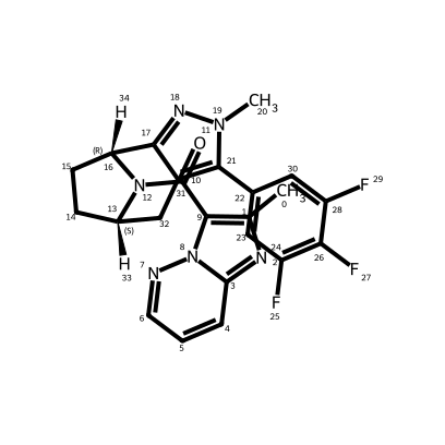 Cc1nc2cccnn2c1C(=O)N1[C@H]2CC[C@@H]1c1nn(C)c(-c3cc(F)c(F)c(F)c3)c1C2